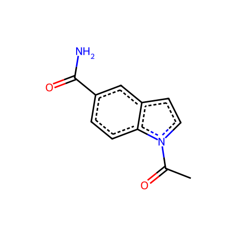 CC(=O)n1ccc2cc(C(N)=O)ccc21